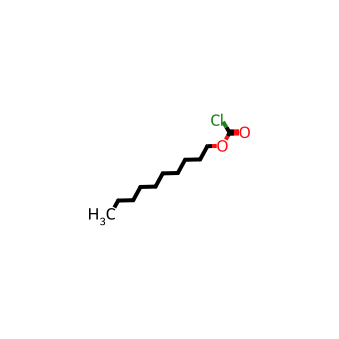 CCCCCCCCCCOC(=O)Cl